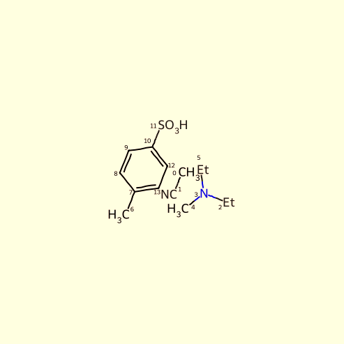 CC#N.CCN(C)CC.Cc1ccc(S(=O)(=O)O)cc1